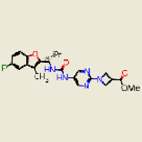 COC(=O)C1CN(c2ncc(NC(=O)N[C@H](c3oc4ccc(F)cc4c3C)C(C)C)cn2)C1